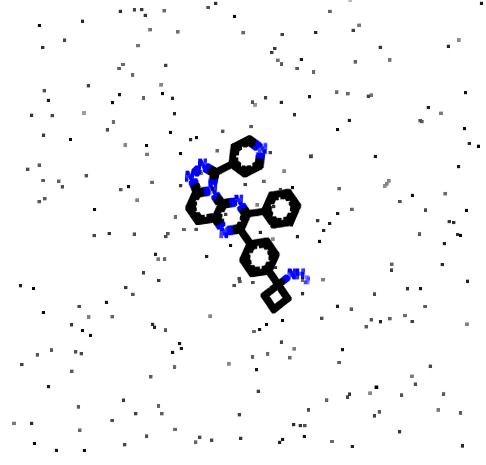 NC1(c2ccc(-c3nc4ccc5nnc(-c6ccncc6)n5c4nc3-c3ccccc3)cc2)CCC1